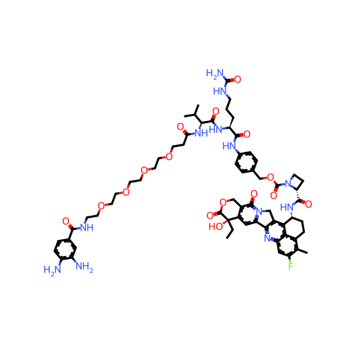 CC[C@]1(O)C(=O)OCc2c1cc1n(c2=O)Cc2c-1nc1cc(F)c(C)c3c1c2[C@H](NC(=O)[C@H]1CCN1C(=O)OCc1ccc(NC(=O)[C@H](CCCNC(N)=O)NC(=O)[C@@H](NC(=O)CCOCCOCCOCCOCCNC(=O)c2ccc(N)c(N)c2)C(C)C)cc1)CC3